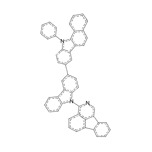 c1ccc(-n2c3ccc(-c4ccc5c(c4)c4ccccc4n5-c4ncc5c6c(cccc46)-c4ccccc4-5)cc3c3ccc4ccccc4c32)cc1